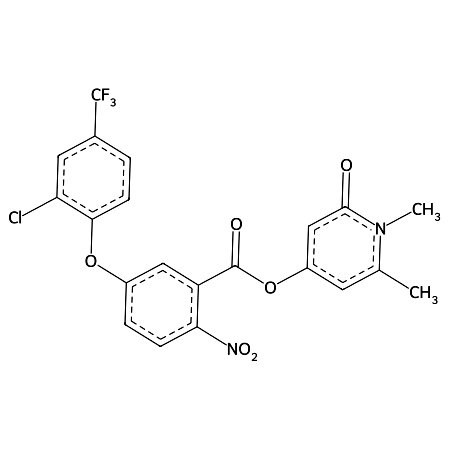 Cc1cc(OC(=O)c2cc(Oc3ccc(C(F)(F)F)cc3Cl)ccc2[N+](=O)[O-])cc(=O)n1C